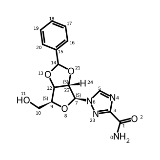 NC(=O)c1ncn([C@H]2O[C@@H](CO)C3OC(c4ccccc4)O[C@@H]32)n1